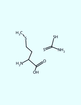 CSCCC(N)C(=O)O.NC(=S)S